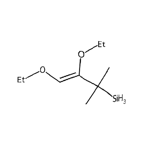 CCOC=C(OCC)C(C)(C)[SiH3]